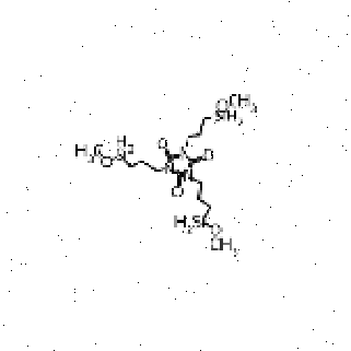 CO[SiH2]CCCn1c(=O)n(CCC[SiH2]OC)c(=O)n(CCC[SiH2]OC)c1=O